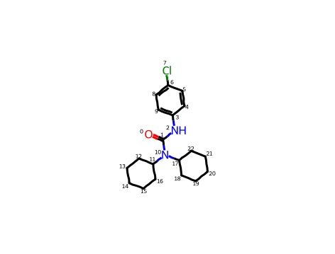 O=C(Nc1ccc(Cl)cc1)N(C1CCCCC1)C1CCCCC1